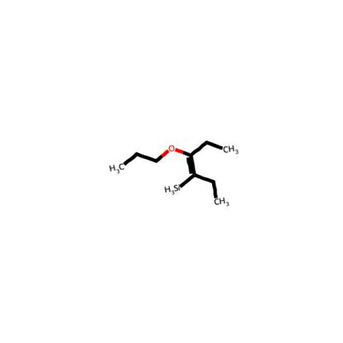 CCCOC(CC)=C([SiH3])CC